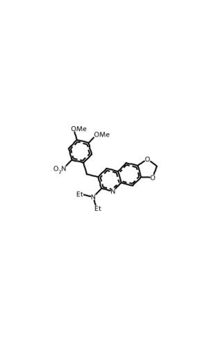 CCN(CC)c1nc2cc3c(cc2cc1Cc1cc(OC)c(OC)cc1[N+](=O)[O-])OCO3